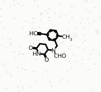 C#Cc1ccc(C)c(CN(C=O)C2CCC(=O)NC2=O)c1